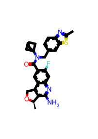 Cc1nc2ccc(CN(C(=O)c3cc4c5c(c(N)nc4cc3F)[C@@H](C)OC5)C34CC(C3)C4)cc2s1